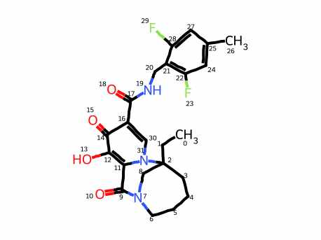 CCC12CCCCN(C1)C(=O)c1c(O)c(=O)c(C(=O)NCc3c(F)cc(C)cc3F)cn12